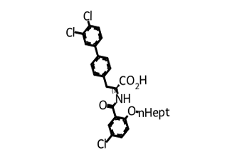 CCCCCCCOc1ccc(Cl)cc1C(=O)N[C@@H](Cc1ccc(-c2ccc(Cl)c(Cl)c2)cc1)C(=O)O